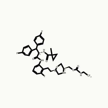 CC1(C(=O)N[C@H](C(=O)Nc2cccc(F)c2CC[C@@H]2CN[C@H](COC(=O)NCC(F)(F)F)CO2)C(c2ccc(F)cc2)c2ccc(F)cc2)CC1